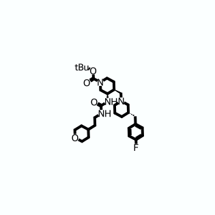 CC(C)(C)OC(=O)N1CC[C@@H](CN2CCC[C@@H](Cc3ccc(F)cc3)C2)[C@@H](NC(=O)NCCC2CCOCC2)C1